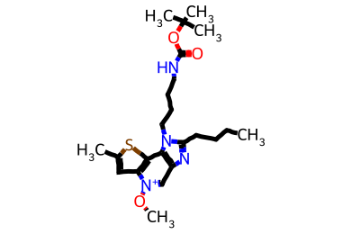 CCCCc1nc2c[n+](OC)c3cc(C)sc3c2n1CCCCNC(=O)OC(C)(C)C